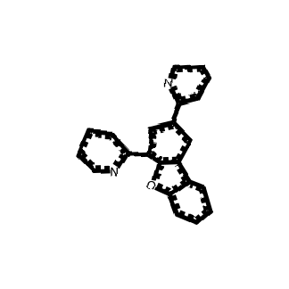 c1ccc(-c2cc(-c3ccccn3)c3oc4ccccc4c3c2)nc1